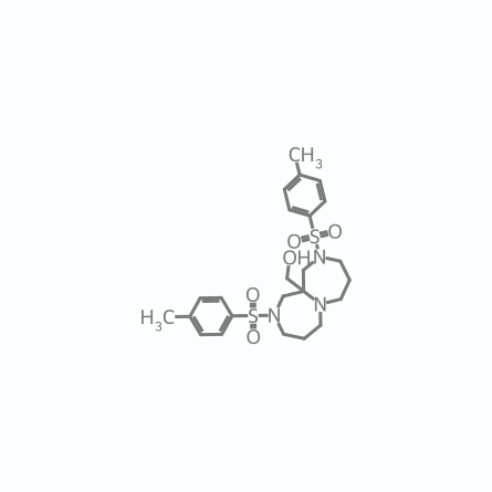 Cc1ccc(S(=O)(=O)N2CCCN3CCCN(S(=O)(=O)c4ccc(C)cc4)CC3(CO)C2)cc1